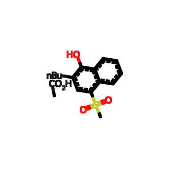 CC(=O)O.CCCCc1cc(S(C)(=O)=O)c2ccccc2c1O